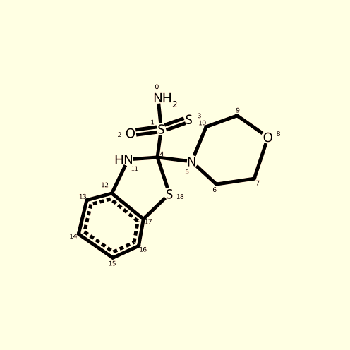 NS(=O)(=S)C1(N2CCOCC2)Nc2ccccc2S1